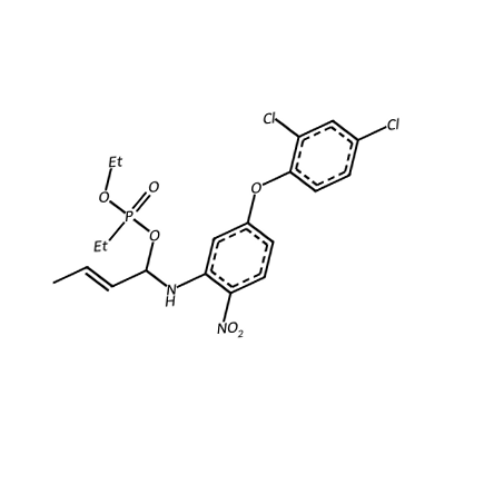 CC=CC(Nc1cc(Oc2ccc(Cl)cc2Cl)ccc1[N+](=O)[O-])OP(=O)(CC)OCC